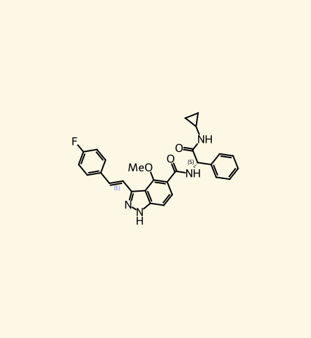 COc1c(C(=O)N[C@H](C(=O)NC2CC2)c2ccccc2)ccc2[nH]nc(/C=C/c3ccc(F)cc3)c12